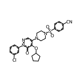 N#Cc1ccc(S(=O)(=O)N2CCN(c3cnn(-c4cccc(Cl)c4)c(=O)c3OC3CCCC3)CC2)cc1